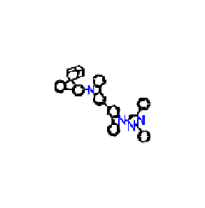 c1ccc(-c2cc(-n3c4ccccc4c4cc(-c5ccc6c(c5)c5ccccc5n6-c5ccc6c(c5)C5(c7ccccc7-6)C6CC7CC(C6)CC5C7)ccc43)nc(-c3ccccc3)n2)cc1